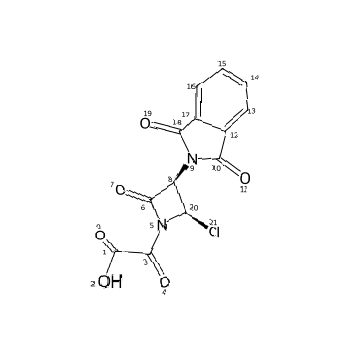 O=C(O)C(=O)N1C(=O)[C@@H](N2C(=O)c3ccccc3C2=O)[C@H]1Cl